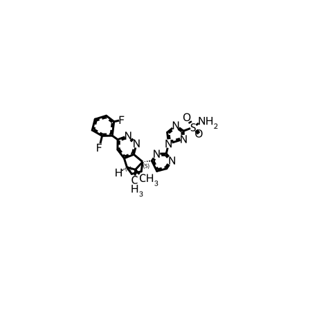 CC1(C)[C@H]2CC[C@]1(c1ccnc(-n3cnc(S(N)(=O)=O)n3)n1)c1nnc(-c3c(F)cccc3F)cc12